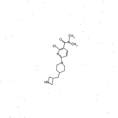 CN(C)C(=O)c1ccc(N2CCC(CC3CNC3)CC2)nc1Cl